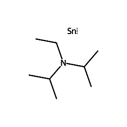 CCN(C(C)C)C(C)C.[Sn]